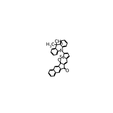 CC1(C)c2ccccc2N(c2ccc(C=C3C(=O)c4cc5ccccc5cc4C3=O)[se]2)c2ccccc21